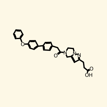 O=C(O)CCc1cc2n(n1)CCN(C(=O)Cc1ccc(-c3ccc(Oc4ccccc4)cc3)cc1)C2